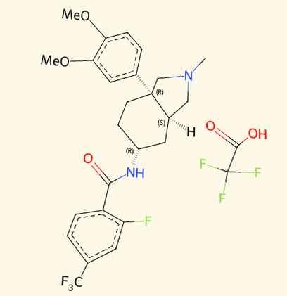 COc1ccc([C@@]23CC[C@@H](NC(=O)c4ccc(C(F)(F)F)cc4F)C[C@@H]2CN(C)C3)cc1OC.O=C(O)C(F)(F)F